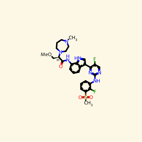 COC[C@H](C(=O)Nc1cccc2c(-c3nc(Nc4cccc(S(C)(=O)=O)c4F)ncc3F)c[nH]c12)N1CCCN(C)CC1